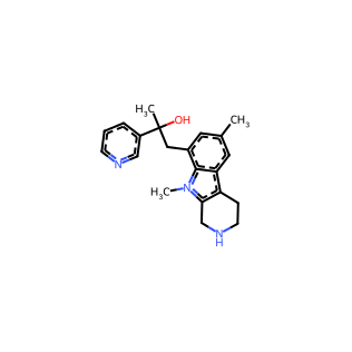 Cc1cc(CC(C)(O)c2cccnc2)c2c(c1)c1c(n2C)CNCC1